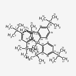 C[Si](C)(C)c1ccc([Si](Cl)(c2ccc([Si](C)(C)C)cc2[Si](C)(C)C)c2ccc([Si](C)(C)C)cc2[Si](C)(C)C)c([Si](C)(C)C)c1